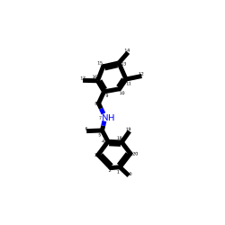 Cc1ccc(C(C)NCc2cc(C)c(C)cc2C)c(C)c1